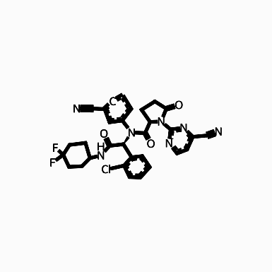 N#Cc1cccc(N(C(=O)C2CCC(=O)N2c2nccc(C#N)n2)[C@H](C(=O)NC2CCC(F)(F)CC2)c2ccccc2Cl)c1